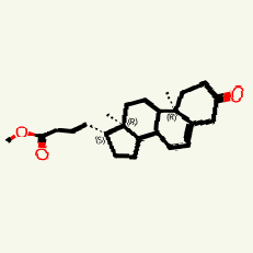 COC(=O)CCC[C@H]1CCC2C3CC=C4CC(=O)CC[C@]4(C)C3CC[C@@]21C